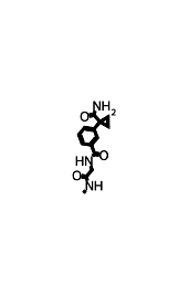 CNC(=O)CNC(=O)c1cccc(C2(C(N)=O)CC2)c1